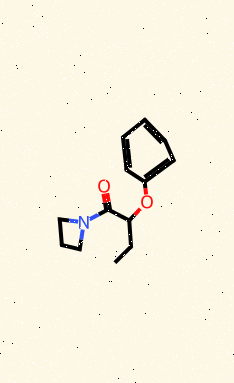 CCC(Oc1ccccc1)C(=O)N1CCC1